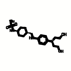 CC(C)(C)S(=O)(=O)N[C@H]1CC[C@H](CNc2ccc(N(CCO)CCO)cc2)CC1